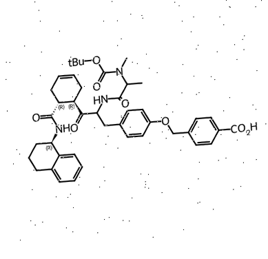 CC(C(=O)NC(Cc1ccc(OCc2ccc(C(=O)O)cc2)cc1)C(=O)[C@@H]1CC=CC[C@H]1C(=O)N[C@@H]1CCCc2ccccc21)N(C)C(=O)OC(C)(C)C